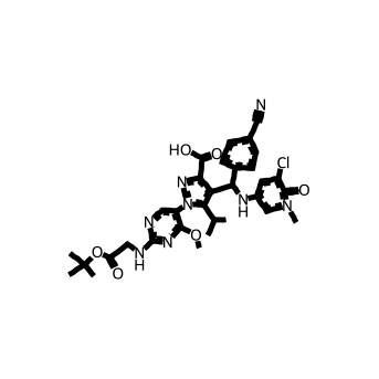 COc1nc(NCC(=O)OC(C)(C)C)ncc1-n1nc(C(=O)O)c(C(Nc2cc(Cl)c(=O)n(C)c2)c2ccc(C#N)cc2)c1C(C)C